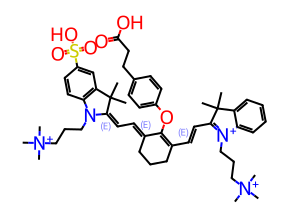 CC1(C)C(/C=C/C2=C(Oc3ccc(CCC(=O)O)cc3)C(=C/C=C3/N(CCC[N+](C)(C)C)c4ccc(S(=O)(=O)O)cc4C3(C)C)/CCC2)=[N+](CCC[N+](C)(C)C)c2ccccc21